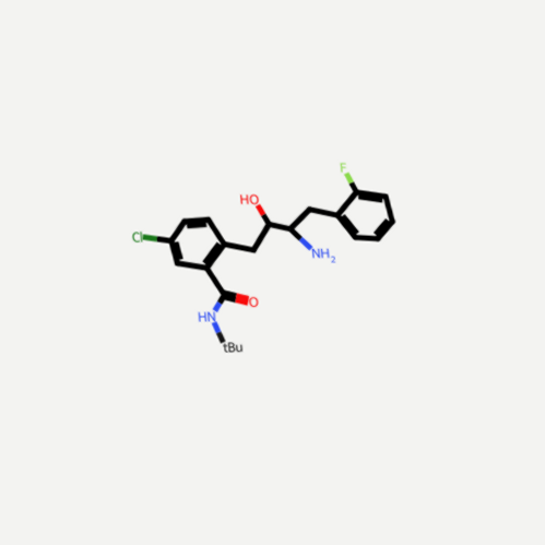 CC(C)(C)NC(=O)c1cc(Cl)ccc1CC(O)C(N)Cc1ccccc1F